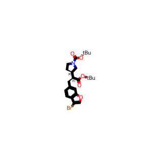 CC(C)(C)OC(=O)[C@@H](Cc1ccc2c(Br)coc2c1)[C@H]1CCN(C(=O)OC(C)(C)C)C1